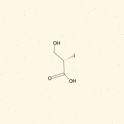 O=C(O)[C@@H](I)CO